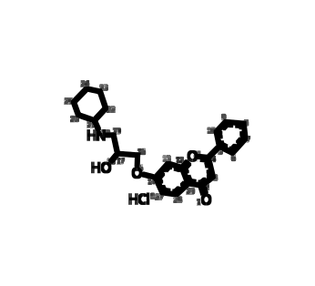 Cl.O=c1cc(-c2ccccc2)oc2cc(OCC(O)CNC3CCCCC3)ccc12